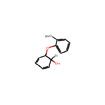 CCC1(O)C=CC=CC1Oc1ccccc1OC